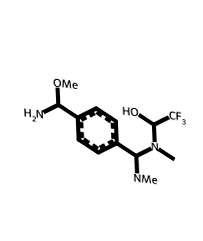 CNC(c1ccc(C(N)OC)cc1)N(C)C(O)C(F)(F)F